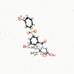 CC(C)(C)N(CC(=O)O)C(=O)c1cc(Br)cc(S(=O)(=O)c2cccc(Br)c2)c1